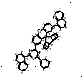 c1ccc(-c2nc(-c3ccc4c(c3)C3(c5cc(-c6cccc7cccnc67)ccc5O4)c4ccccc4-c4ccccc43)nc(-c3cccc4ccccc34)n2)cc1